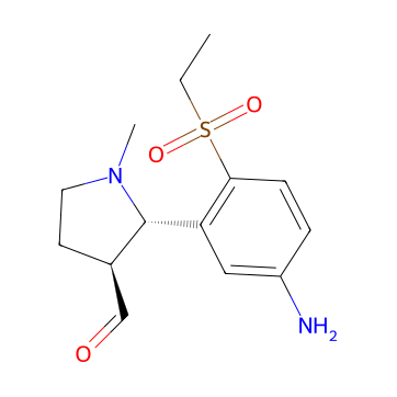 CCS(=O)(=O)c1ccc(N)cc1[C@@H]1[C@@H](C=O)CCN1C